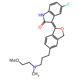 COCCN(C)CCCc1ccc2c(c1)CO/C2=C1/C(=O)Nc2ccc(F)cc21